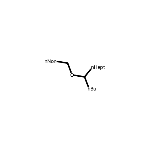 CCCCCCCCCCOC(CCCC)CCCCCCC